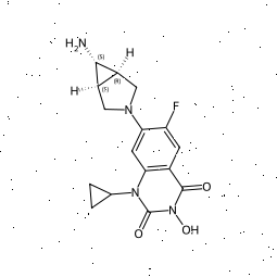 N[C@@H]1[C@H]2CN(c3cc4c(cc3F)c(=O)n(O)c(=O)n4C3CC3)C[C@@H]12